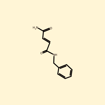 NC(=O)C=CC(=O)NCc1ccccc1